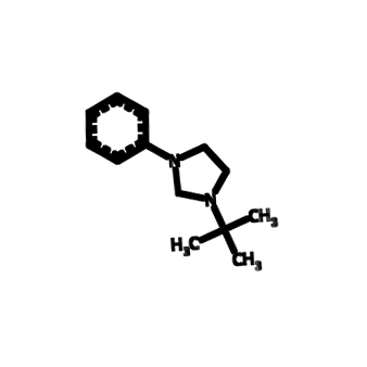 CC(C)(C)N1CCN(c2ccccc2)C1